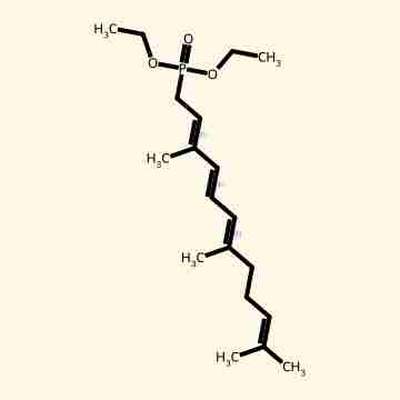 CCOP(=O)(C/C=C(C)/C=C/C=C(\C)CCC=C(C)C)OCC